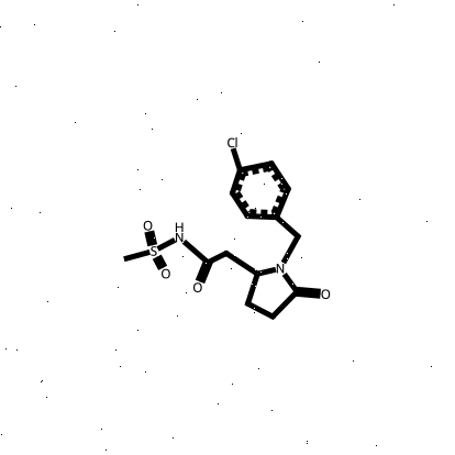 CS(=O)(=O)NC(=O)CC1CCC(=O)N1Cc1ccc(Cl)cc1